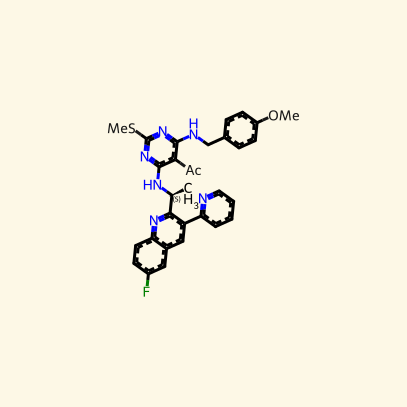 COc1ccc(CNc2nc(SC)nc(N[C@@H](C)c3nc4ccc(F)cc4cc3-c3ccccn3)c2C(C)=O)cc1